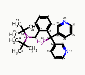 CC(C)(C)P(Cc1ccccc1C(P)(c1cccnc1)c1cccnc1)C(C)(C)C